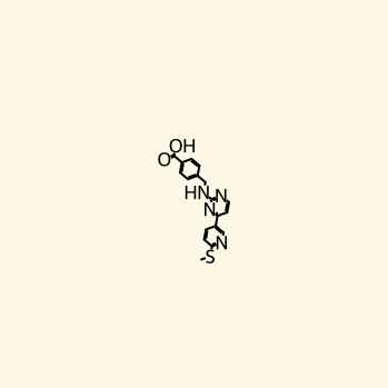 CSc1ccc(-c2ccnc(NCc3ccc(C(=O)O)cc3)n2)cn1